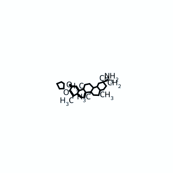 C=C(N)[C@]1(C)CCC2(C)CCC3(C)C4=CC=C5C(=CC(=O)C(OC6CCCC6)=C5C)C4(C)CCC3C2C1